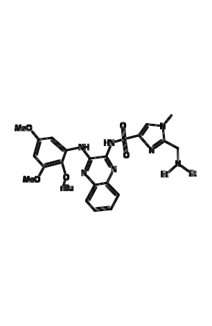 CCCCOc1c(Nc2nc3ccccc3nc2NS(=O)(=O)c2cn(C)c(CN(CC)CC)n2)cc(OC)cc1OC